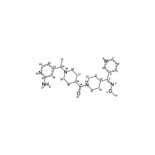 CON=C(c1cccnc1)C1CCN(C(=O)C2CCN(C(C)c3ccnc(N)c3)CC2)CC1